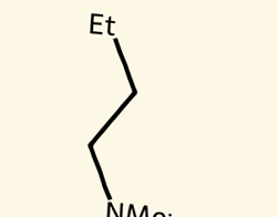 CCCC[N+]C